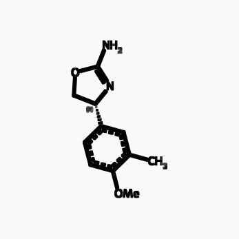 COc1ccc([C@@H]2COC(N)=N2)cc1C